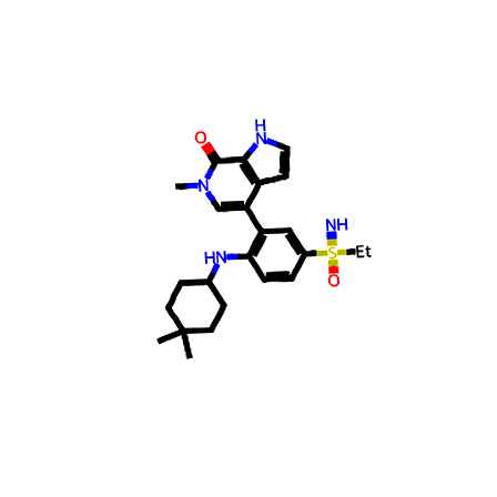 CCS(=N)(=O)c1ccc(NC2CCC(C)(C)CC2)c(-c2cn(C)c(=O)c3[nH]ccc23)c1